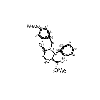 COC(=O)C1OCC(=O)N(Cc2ccc(OC)cc2)C1c1ccccc1